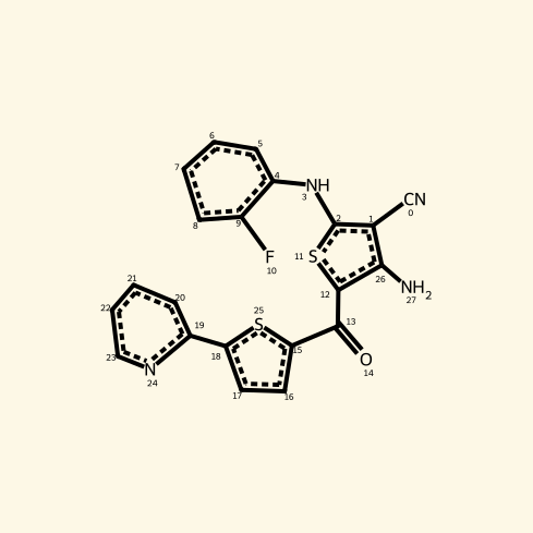 N#Cc1c(Nc2ccccc2F)sc(C(=O)c2ccc(-c3ccccn3)s2)c1N